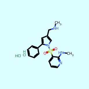 CNCc1cc(-c2ccccc2)n(S(=O)(=O)c2cccnc2NC)c1.Cl.Cl